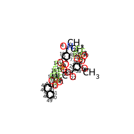 CN(C)C(=O)c1ccc(OS(=O)(=O)C(F)(F)F)cc1.COC(=O)c1ccc(OS(=O)(=O)C(F)(F)F)c(OC)c1.O=S(=O)(Oc1cccc2ccccc12)C(F)(F)F